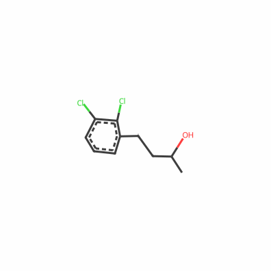 CC(O)C[CH]c1cccc(Cl)c1Cl